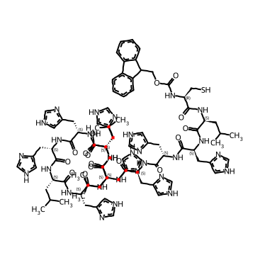 CC(C)C[C@H](NC(=O)[C@H](CS)NC(=O)OCC1c2ccccc2-c2ccccc21)C(=O)N[C@@H](Cc1c[nH]cn1)C(=O)N[C@@H](Cc1c[nH]cn1)C(=O)N[C@@H](Cc1c[nH]cn1)C(=O)N[C@@H](CC(C)C)C(=O)N[C@@H](CC(C)C)C(=O)N[C@@H](Cc1c[nH]cn1)C(=O)N[C@@H](Cc1c[nH]cn1)C(=O)N[C@@H](CC(C)C)C(=O)N[C@@H](Cc1c[nH]cn1)C(=O)N[C@@H](Cc1c[nH]cn1)C(=O)N[C@@H](Cc1c[nH]cn1)C(=O)O